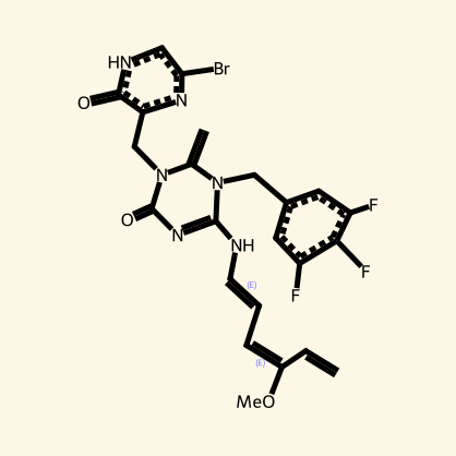 C=C/C(=C\C=C\NC1=NC(=O)N(Cc2nc(Br)c[nH]c2=O)C(=C)N1Cc1cc(F)c(F)c(F)c1)OC